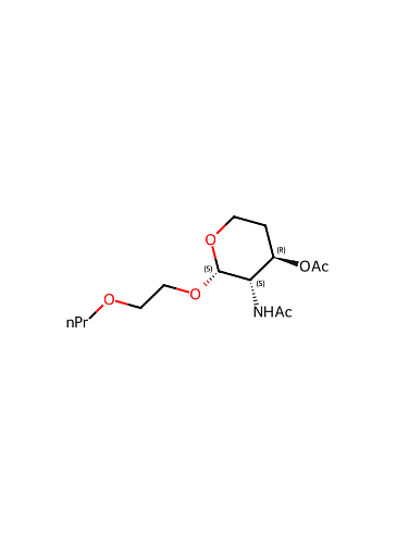 CCCOCCO[C@@H]1OCC[C@@H](OC(C)=O)[C@@H]1NC(C)=O